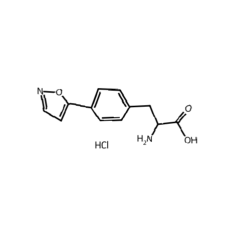 Cl.NC(Cc1ccc(-c2ccno2)cc1)C(=O)O